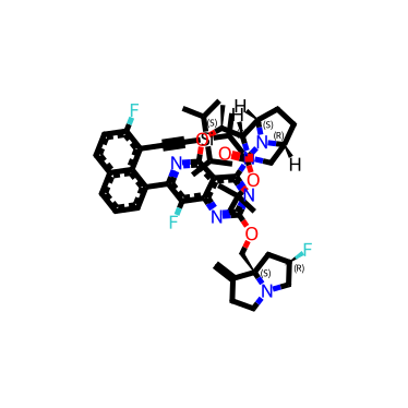 C=C1CCN2C[C@H](F)C[C@@]12COc1nc2c3c(nc(-c4cccc5ccc(F)c(C#C[Si](C(C)C)(C(C)C)C(C)C)c45)c(F)c3n1)O[C@@H](C)[C@@H]1[C@@H]3CC[C@H](CN21)N3C(=O)OC(C)(C)C